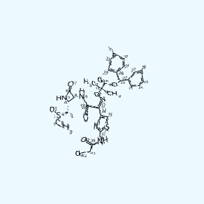 C[S+]([O-])C[C@@H]1NC(=O)[C@@H]1NC(=O)/C(=N\OC(C)(C)C(=O)OC(c1ccccc1)c1ccccc1)c1csc(NC(=O)CCl)n1